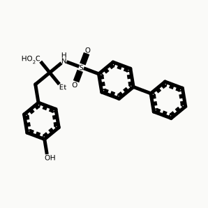 CCC(Cc1ccc(O)cc1)(NS(=O)(=O)c1ccc(-c2ccccc2)cc1)C(=O)O